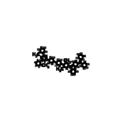 Cc1ccccc1-c1cc(-c2ccc(-c3ccc(-c4c(C)cc(-n5c6ccccc6c6cc(N(c7ccccc7)c7ccccc7)ccc65)cc4C)cc3)cc2)nc(-c2ccccc2C)n1